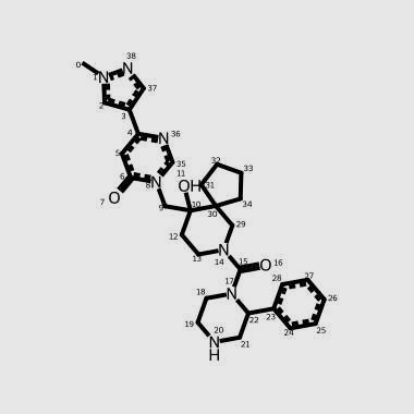 Cn1cc(-c2cc(=O)n(CC3(O)CCN(C(=O)N4CCNCC4c4ccccc4)CC34CCCC4)cn2)cn1